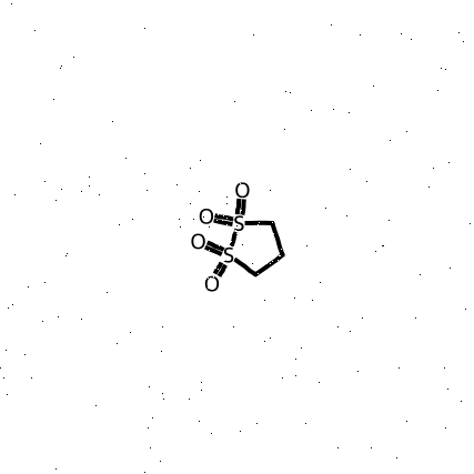 O=S1(=O)CCCS1(=O)=O